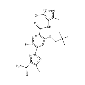 Cc1n[nH]c(Cl)c1NC(=O)c1cc(F)c(-c2cn(C)c(C(N)=O)n2)cc1OCC(C)(C)F